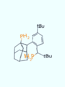 CC(C)(C)c1ccc(C(P)C(C)(C)C)c(C2C3CC4CC(C3)CC2(P)C4)c1